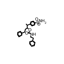 CC(c1ccc(S(N)(=O)=O)cc1)C(CCc1ccccc1)OC(=O)NCCc1ccccc1